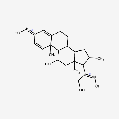 CC1CC2C3CCC4=C/C(=N/O)C=CC4(C)C3C(O)CC2(C)C1/C(CO)=N/O